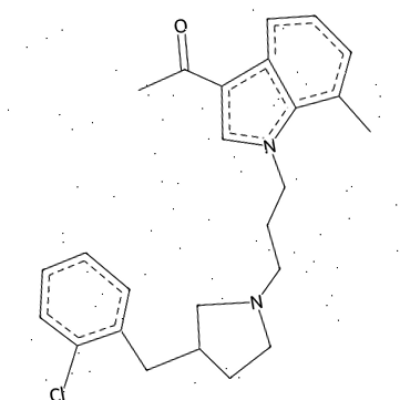 CC(=O)c1cn(CCCN2CCC(Cc3ccccc3Cl)C2)c2c(C)cccc12